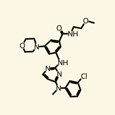 COCCNC(=O)c1cc(Nc2nccc(N(C)c3cccc(Cl)c3)n2)cc(N2CCOCC2)c1